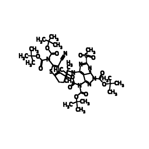 CC(C)(C)OC(=O)N(C(=O)OC(C)(C)C)c1sc2c(c1C#N)C1(CC2)CN(c2nc(S(C)(=O)=O)nc3c2c(N(C(=O)OC(C)(C)C)C(=O)OC(C)(C)C)nn3C(=O)OC(C)(C)C)C1